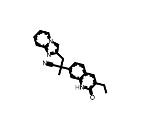 CCc1cc2ccc(C(C)(C#N)Cc3cn4ccccc4n3)cc2[nH]c1=O